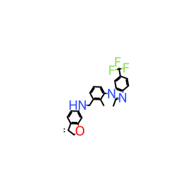 Cc1c(CNc2ccc3c(c2)OC[C]3)cccc1-n1c(C)nc2ccc(C(F)(F)F)cc21